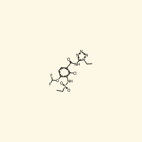 CCn1nnnc1NC(=O)c1ccc(OC(F)F)c(NS(=O)(=O)CC)c1Cl